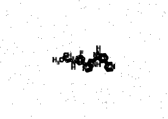 CN(C)CCNc1cc(F)cc(-c2nccc3[nH]c(-c4n[nH]c5ccc(-c6cccnc6)cc45)cc23)c1